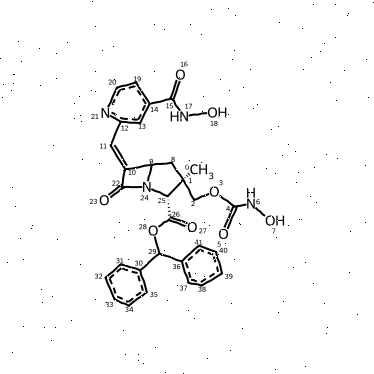 C[C@@]1(COC(=O)NO)CC2/C(=C\c3cc(C(=O)NO)ccn3)C(=O)N2[C@H]1C(=O)OC(c1ccccc1)c1ccccc1